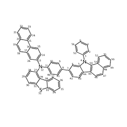 c1ccc(-n2c3cc(-c4ccc(N(c5ccc6c(ccc7ccccc76)c5)c5cccc6sc7ccccc7c56)cc4)ccc3c3ccc4ccccc4c32)cc1